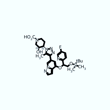 Cc1c(-c2cc(OC(CO[Si](C)(C)C(C)(C)C)c3ccc(F)cn3)c3ccnn3c2)nnn1[C@H]1CCN(C(=O)O)C[C@@H]1O